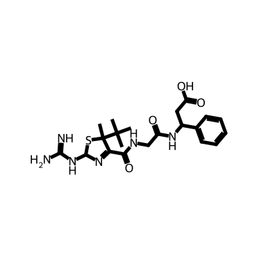 CC(C)(C)C1(C)SC(NC(=N)N)N=C1C(=O)NCC(=O)NC(CC(=O)O)c1ccccc1